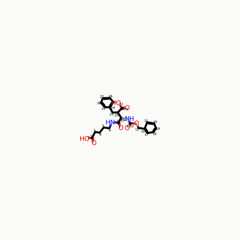 O=C(O)CCCCNC(=O)[C@@H](NC(=O)OCc1ccccc1)C(Cc1ccccc1)C(=O)O